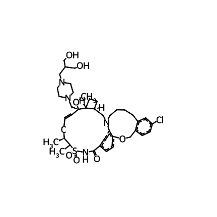 CO[C@@]1(CN2CCN(CC(CO)CO)CC2)/C=C/C[C@H](C)C(C)S(=O)(=O)NC(=O)c2ccc3c(c2)N(CCCCc2cc(Cl)ccc2CO3)C[C@@H]2CC[C@H]21